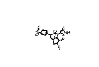 CN1C=C(NC(=O)C(CC2C[C@@H](F)[C@@H](F)C2)c2ccc(S(C)(=O)=O)cc2)SN1